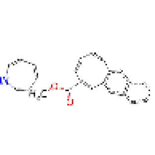 C1=CC=CNC=C1.COC(=O)C1=Cc2cc3ccccc3cc2C=CC=C1